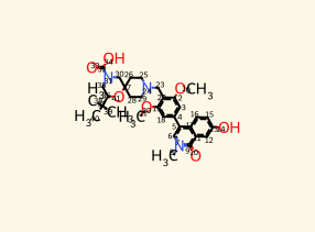 COc1cc(-c2cn(C)c(=O)c3cc(O)ccc23)cc(OC)c1CN1CCC2(CC1)CN(C(=O)O)CC(C(C)(C)C)O2